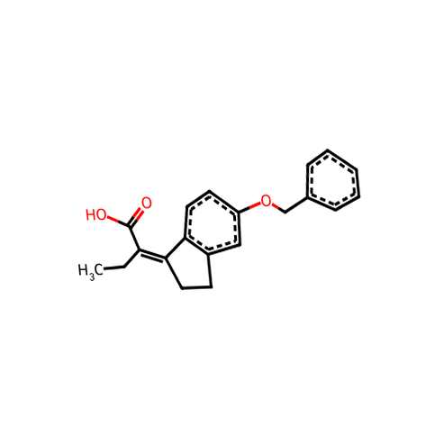 CCC(C(=O)O)=C1CCc2cc(OCc3ccccc3)ccc21